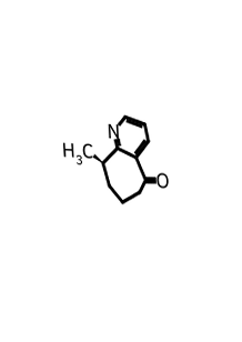 C[C@@H]1CCCC(=O)c2cccnc21